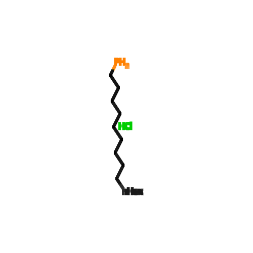 CCCCCCCCCCCCCCCP.Cl